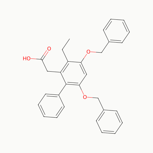 CCc1c(OCc2ccccc2)cc(OCc2ccccc2)c(-c2ccccc2)c1CC(=O)O